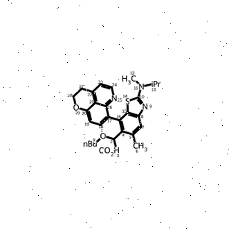 CCCCOC(C(=O)O)c1c(C)cc2nc(N(C)C(C)C)sc2c1-c1ccc2c3c(ccnc13)CCO2